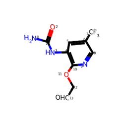 NC(=O)Nc1cc(C(F)(F)F)cnc1OCC=O